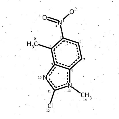 Cc1c([N+](=O)[O-])ccc2c1nc(Cl)n2C